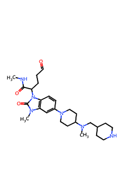 CNC(=O)C(CCC=O)n1c(=O)n(C)c2cc(N3CCC(N(C)CC4CCNCC4)CC3)ccc21